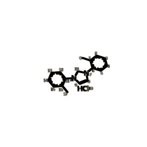 Cc1ccccc1N1C=CN(c2ccccc2C)C1.Cl